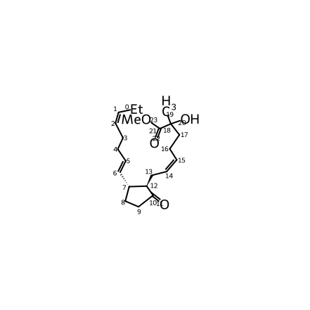 CC/C=C\CC/C=C/[C@H]1CCC(=O)[C@@H]1C/C=C\CCC(C)(O)C(=O)OC